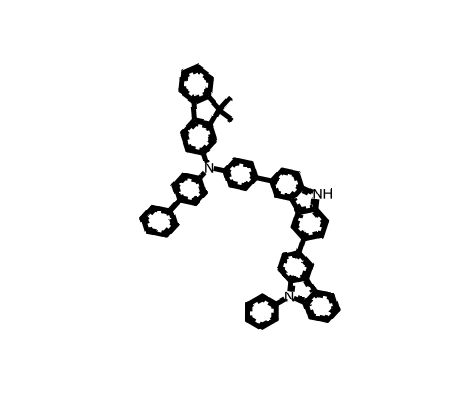 CC1(C)c2ccccc2-c2ccc(N(c3ccc(-c4ccccc4)cc3)c3ccc(-c4ccc5[nH]c6ccc(-c7ccc8c(c7)c7ccccc7n8-c7ccccc7)cc6c5c4)cc3)cc21